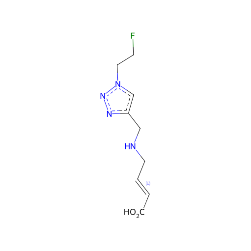 O=C(O)/C=C/CNCc1cn(CCF)nn1